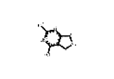 Clc1nc(Cl)c2c(n1)CSC2